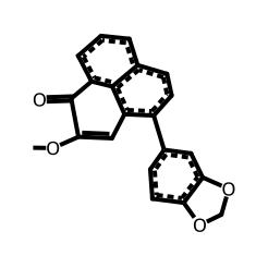 COC1=Cc2c(-c3ccc4c(c3)OCO4)ccc3cccc(c23)C1=O